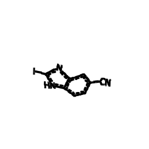 N#Cc1ccc2[nH]c(I)nc2c1